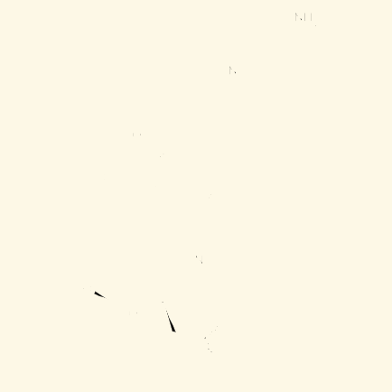 CC(C)C[C@@]12O[C@]13c1cc(O)c4c(c1N[C@H]2C#C/C=C\C#C[C@H]3O)C(=O)c1ccc(NCCN)cc1C4=O